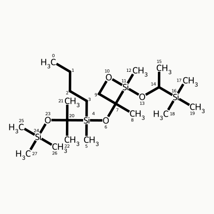 CCCC[Si](C)(OC1(C)CO[Si]1(C)OC(C)[Si](C)(C)C)C(C)(C)O[Si](C)(C)C